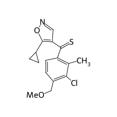 COCc1ccc(C(=S)c2cnoc2C2CC2)c(C)c1Cl